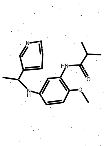 COc1ccc(NC(C)c2cccnc2)cc1NC(=O)C(C)C